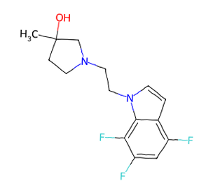 CC1(O)CCN(CCn2ccc3c(F)cc(F)c(F)c32)C1